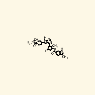 Cc1c(NC(=O)c2ccc3c(C)c[nH]c3c2)cc(F)cc1-c1ncnc2[nH]c(C3=CCN(C(=O)N(C)C)CC3)cc12